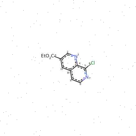 CCOC(=O)c1cnc2c(Cl)nccc2c1